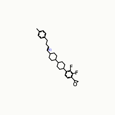 Cc1ccc(CC/C=C/C2CCC(C3CCC(c4ccc(C5CO5)c(F)c4F)CC3)CC2)cc1